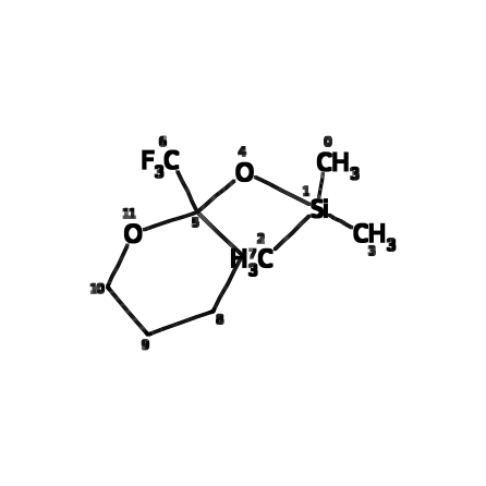 C[Si](C)(C)OC1(C(F)(F)F)CCCCO1